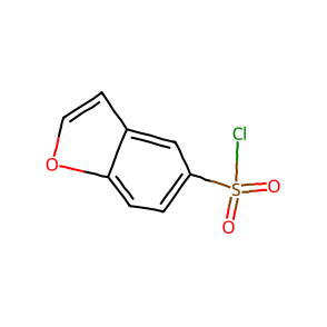 O=S(=O)(Cl)c1ccc2occc2c1